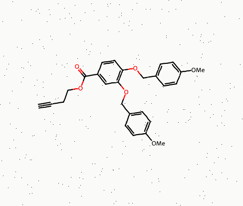 C#CCCOC(=O)c1ccc(OCc2ccc(OC)cc2)c(OCc2ccc(OC)cc2)c1